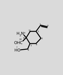 C=CC1CCC(CO)C(N)(C=O)C1